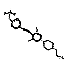 CCC[C@H]1CC[C@H](c2cc(F)c(C#Cc3ccc(OC(F)(F)F)cc3)c(F)c2)CC1